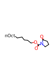 CCCCCCCCCCCCCOC(=O)N1CCCC1=O